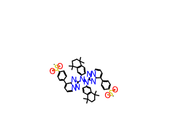 CC1(C)CCC(C)(C)c2cc(N(c3nc4c(-c5ccc(S(C)(=O)=O)cc5)cccn4n3)N(c3ccc4c(c3)C(C)(C)CCC4(C)C)c3nc4c(-c5ccc(S(C)(=O)=O)cc5)cccn4n3)ccc21